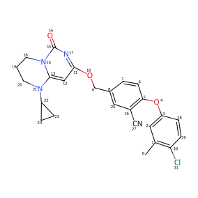 Cc1cc(Oc2ccc(COc3cc4n(c(=O)n3)CCCN4C3CC3)cc2C#N)ccc1Cl